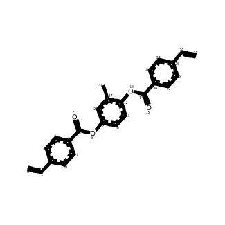 C=Cc1ccc(C(=O)Oc2ccc(OC(=O)c3ccc(C=C)cc3)c(C)c2)cc1